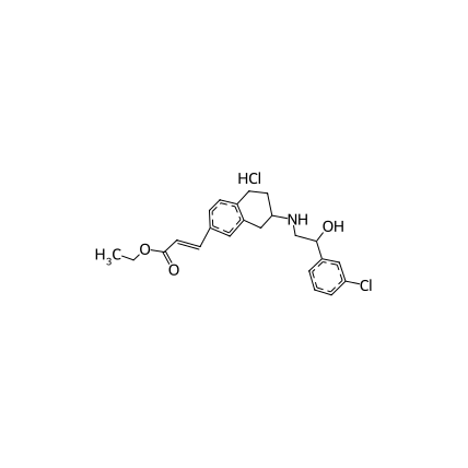 CCOC(=O)C=Cc1ccc2c(c1)CC(NCC(O)c1cccc(Cl)c1)CC2.Cl